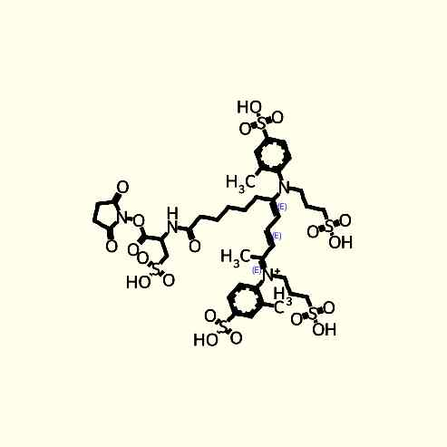 CC(/C=C/C=C(\CCCCCC(=O)NC(CS(=O)(=O)O)C(=O)ON1C(=O)CCC1=O)N(CCCS(=O)(=O)O)c1ccc(S(=O)(=O)O)cc1C)=[N+](/CCCS(=O)(=O)O)c1ccc(S(=O)(=O)O)cc1C